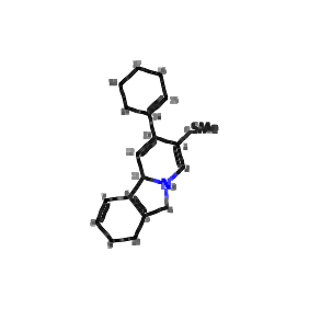 CSC1=CN2CC3=C(C=CCC3)C2C=C1C1=CCCCC1